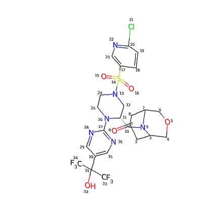 O=C1CC2COCC(C1)N2C[C@H]1CN(S(=O)(=O)c2ccc(Cl)nc2)CCN1c1ncc(C(O)(C(F)(F)F)C(F)(F)F)cn1